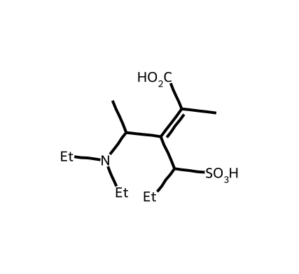 CCC(/C(=C(\C)C(=O)O)C(C)N(CC)CC)S(=O)(=O)O